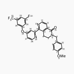 COc1ccc(CN2CCc3c(ccnc3-c3cc(Oc4cc(F)cc(C(F)(F)F)c4)ccn3)C2=O)cc1